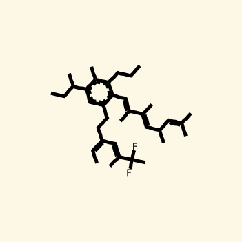 C/C=C(\C=C(/C)C(C)(F)F)CCc1cc(C(C)CC)c(C)c(CCC)c1/C=C(C)/C(C)=C/C(C)C=C(C)C